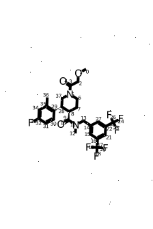 COCC(=O)N1CC[C@@H](C(=O)N(C)Cc2cc(C(F)(F)F)cc(C(F)(F)F)c2)[C@H](c2ccc(F)cc2C)C1